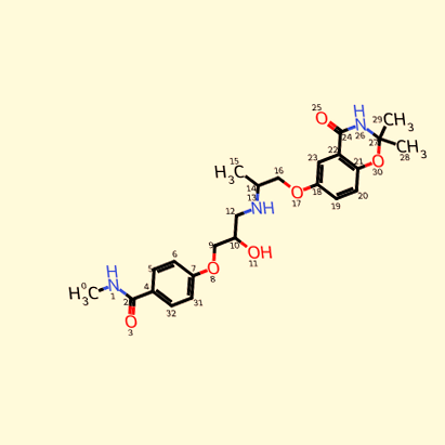 CNC(=O)c1ccc(OCC(O)CNC(C)COc2ccc3c(c2)C(=O)NC(C)(C)O3)cc1